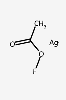 CC(=O)OF.[Ag]